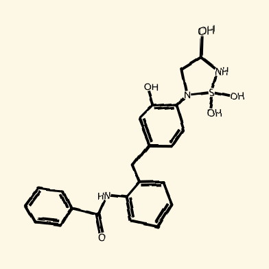 O=C(Nc1ccccc1Cc1ccc(N2CC(O)NS2(O)O)c(O)c1)c1ccccc1